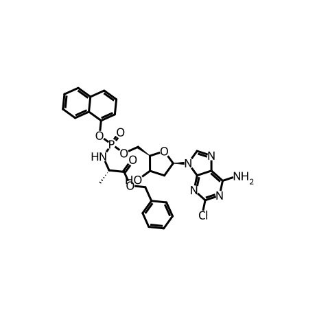 C[C@H](NP(=O)(OC[C@H]1O[C@@H](n2cnc3c(N)nc(Cl)nc32)CC1O)Oc1cccc2ccccc12)C(=O)OCc1ccccc1